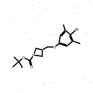 Cc1cc(OCC2CN(C(=O)OC(C)(C)C)C2)cc(C)c1Br